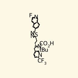 CC(C)(C)N(C(=O)O)[C@H](CCc1nnc(-c2ccc3cnc(F)cc3c2)s1)Cc1ccc(C(F)(F)F)nc1